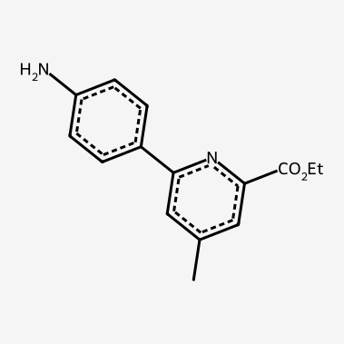 CCOC(=O)c1cc(C)cc(-c2ccc(N)cc2)n1